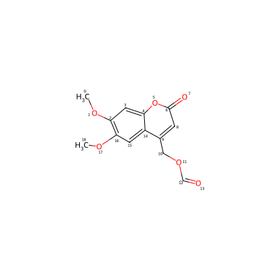 COc1cc2oc(=O)cc(CO[C]=O)c2cc1OC